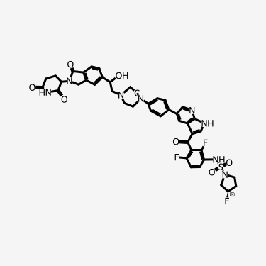 O=C1CCC(N2Cc3cc(C(O)CN4CCN(c5ccc(-c6cnc7[nH]cc(C(=O)c8c(F)ccc(NS(=O)(=O)N9CC[C@@H](F)C9)c8F)c7c6)cc5)CC4)ccc3C2=O)C(=O)N1